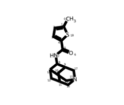 Cc1ccc(C(=O)NC2C3CC4CC2CN(C4)C3)s1